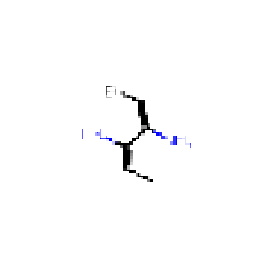 C/C=C(N)\C(N)=C/CC